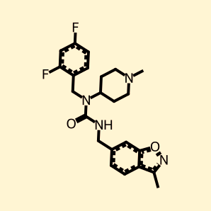 Cc1noc2cc(CNC(=O)N(Cc3ccc(F)cc3F)C3CCN(C)CC3)ccc12